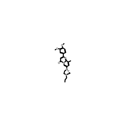 CCCN1CCN(c2cc(C)c3nc(-c4ccc(OC)c(OC)c4)cc(=O)n3c2)CC1